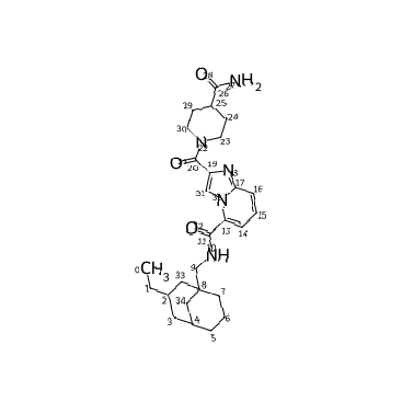 CCC1CC2CCCC(CNC(=O)c3cccc4nc(C(=O)N5CCC(C(N)=O)CC5)cn34)(C1)C2